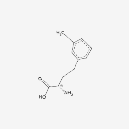 Cc1cccc(CC[C@H](N)C(=O)O)c1